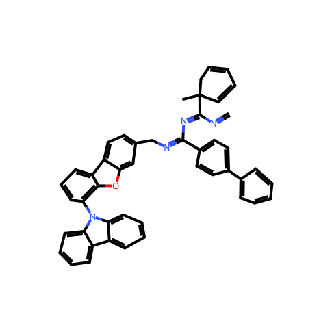 C=N/C(=N\C(=N/Cc1ccc2c(c1)oc1c(-n3c4ccccc4c4ccccc43)cccc12)c1ccc(-c2ccccc2)cc1)C1(C)C=CC=CC1